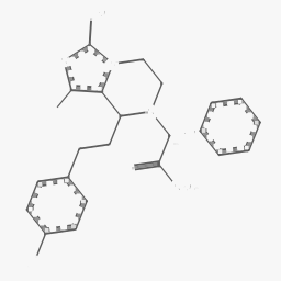 CNC(=O)[C@@H](c1ccccc1)N1CCn2c(OC)nc(C(F)(F)F)c2C1CCc1ccc(C(F)(F)F)cc1